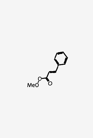 COOC(=O)/C=C/c1ccccc1